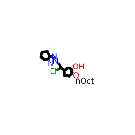 CCCCCCCCOc1ccc(C(Cl)Cn2nc3ccccc3n2)cc1O